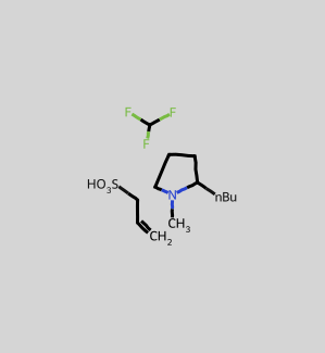 C=CCS(=O)(=O)O.CCCCC1CCCN1C.FC(F)F